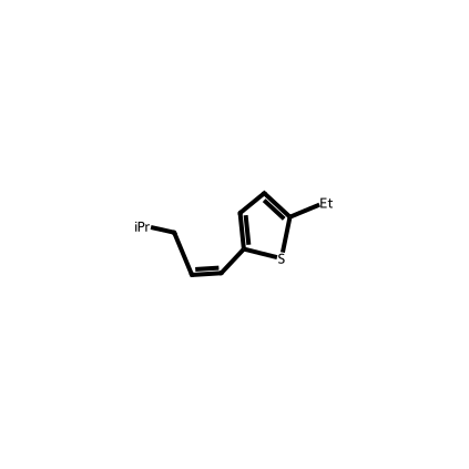 CCc1ccc(/C=C\CC(C)C)s1